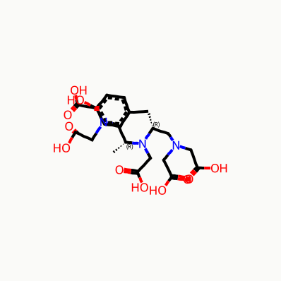 C[C@H](CN(CC(=O)O)CC(=O)O)N(CC(=O)O)[C@H](Cc1ccc(O)cc1)CN(CC(=O)O)CC(=O)O